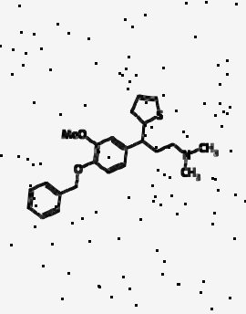 COc1cc(C(CCN(C)C)C2CC=CS2)ccc1OCc1ccccc1